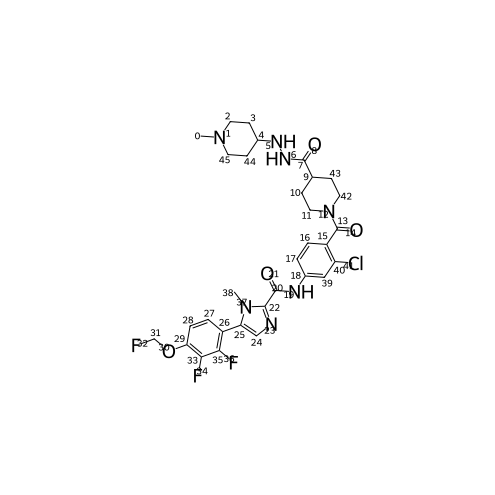 CN1CCC(NNC(=O)C2CCN(C(=O)c3ccc(NC(=O)c4ncc(-c5ccc(OCF)c(F)c5F)n4C)cc3Cl)CC2)CC1